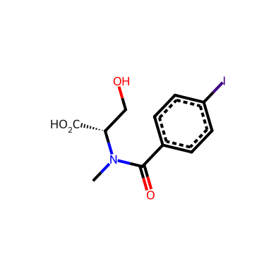 CN(C(=O)c1ccc(I)cc1)[C@@H](CO)C(=O)O